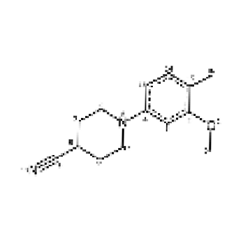 COc1cc(N2CCC(C#N)CC2)ccc1C